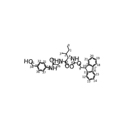 CC[C@H](C)[C@H](NC(=O)OCC1c2ccccc2-c2ccccc21)C(=O)NCC(=O)Nc1ccc(CO)cc1